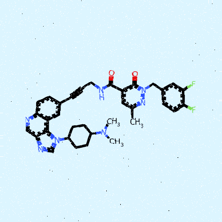 Cc1cc(C(=O)NCC#Cc2ccc3ncc4ncn(C5CCC(N(C)C)CC5)c4c3c2)c(=O)n(Cc2ccc(F)c(F)c2)n1